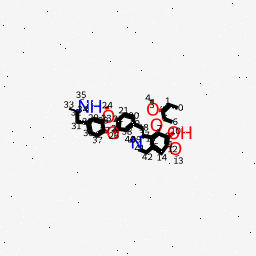 C/C=C(/OC)C(C)Oc1c(O)c(OC)cc2c1[C@H](Cc1ccc(OC)c(Oc3ccc(C[C@@H](C)NC)cc3)c1)N(C)CC2